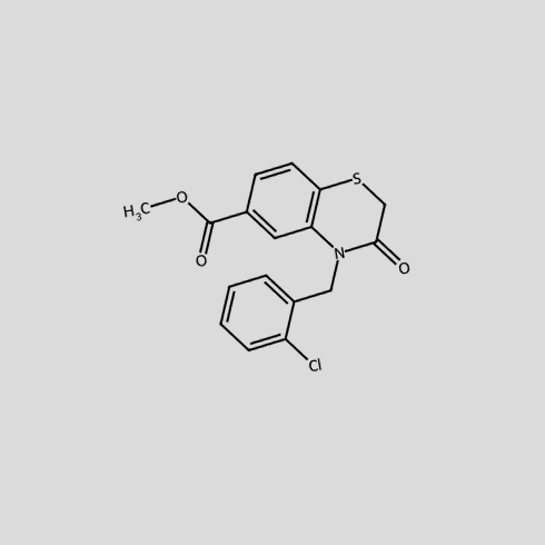 COC(=O)c1ccc2c(c1)N(Cc1ccccc1Cl)C(=O)CS2